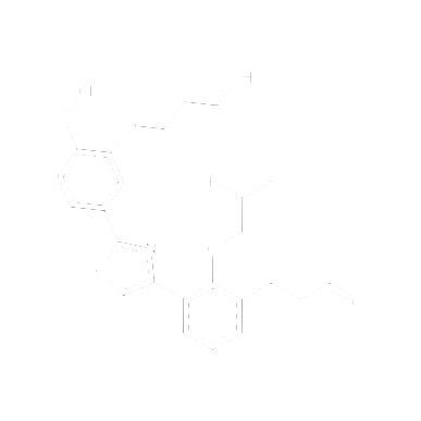 C=CCCOc1cc(-c2nc(-c3cccc(CCC=O)c3OCC(F)F)co2)ccc1OC